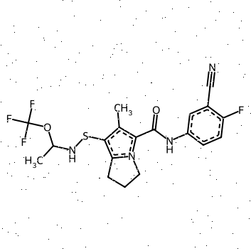 Cc1c(SNC(C)OC(F)(F)F)c2n(c1C(=O)Nc1ccc(F)c(C#N)c1)CCC2